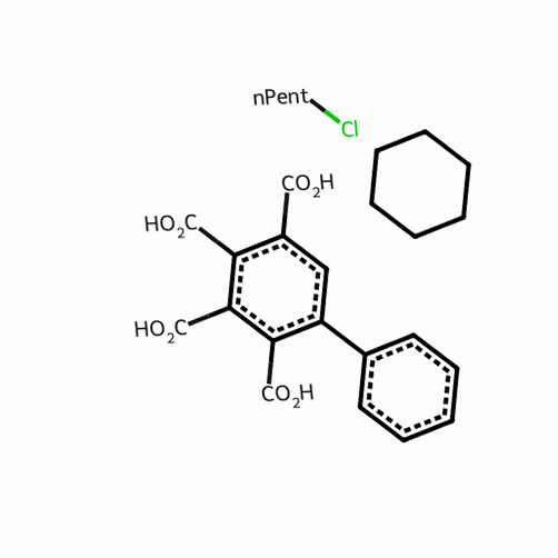 C1CCCCC1.CCCCCCl.O=C(O)c1cc(-c2ccccc2)c(C(=O)O)c(C(=O)O)c1C(=O)O